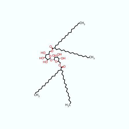 CCCCCCCCCCCCCCCCC(CCCCCCCCCCCCCCCC)C(=O)OCC1O[C@H](O[C@H]2OC(COC(=O)C(CCCCCCCCCCCCCCCC)CCCCCCCCCCCCCCCC)[C@@H](O)[C@H](O)C2O)C(O)[C@@H](O)[C@@H]1O